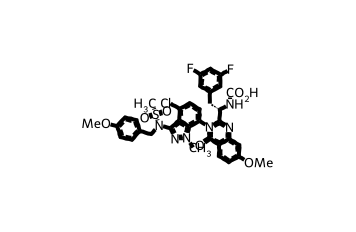 COc1ccc(CN(c2nn(C)c3c(-n4c([C@H](Cc5cc(F)cc(F)c5)NC(=O)O)nc5cc(OC)ccc5c4=O)ccc(Cl)c23)S(C)(=O)=O)cc1